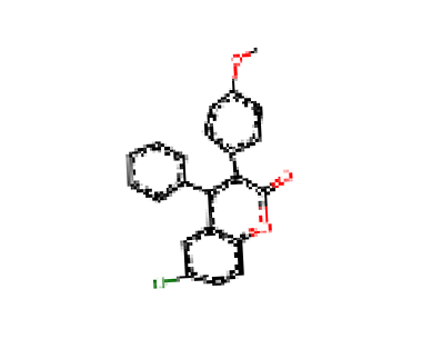 COc1ccc(-c2c(-c3ccccc3)c3cc(Cl)ccc3oc2=O)cc1